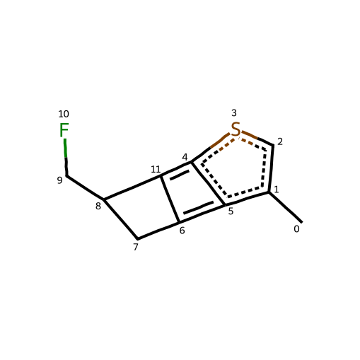 Cc1csc2c1=C1CC(CF)C=21